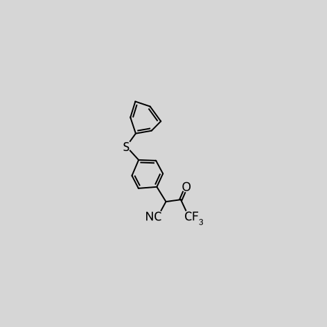 N#CC(C(=O)C(F)(F)F)c1ccc(Sc2ccccc2)cc1